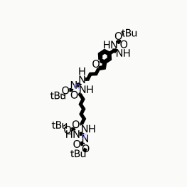 CC(C)(C)OC(=O)/N=C(/NCCCCCCCN/C(=N\C(=O)OC(C)(C)C)NCCCc1cc2cc(C(=N)NC(=O)OC(C)(C)C)ccc2o1)NC(=O)OC(C)(C)C